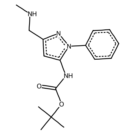 CNCc1cc(NC(=O)OC(C)(C)C)n(-c2ccccc2)n1